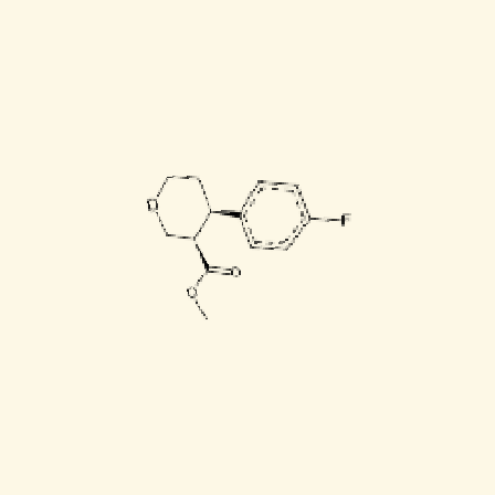 COC(=O)[C@H]1COCC[C@H]1c1ccc(F)cc1